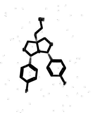 OCC[C@]12CO[C@H](c3ccc(F)cc3)N1[C@H](c1ccc(F)cc1)OC2